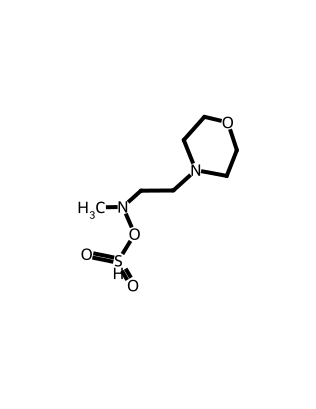 CN(CCN1CCOCC1)O[SH](=O)=O